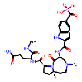 CCCNC(=O)[C@H](CCC(N)=O)NC(=O)[C@@H]1CC[C@@H]2CCN(C(C)=O)C[C@H](NC(=O)c3cc4cc(C(=O)P(=O)(O)O)ccc4[nH]3)C(=O)N21